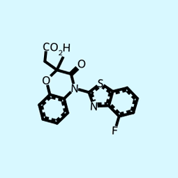 CC1(CC(=O)O)Oc2ccccc2N(c2nc3c(F)cccc3s2)C1=O